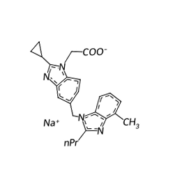 CCCc1nc2c(C)cccc2n1Cc1ccc2c(c1)nc(C1CC1)n2CC(=O)[O-].[Na+]